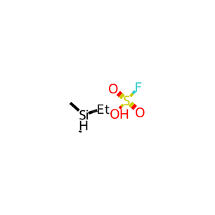 CC[SiH](C)C.O=S(=O)(O)F